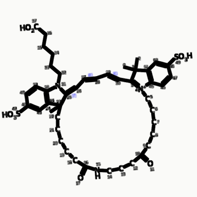 CC1(C)C2=[N+](CCCCCC(=O)CCCNC(=O)CCCCCC3(C)/C(=C/C=C/C=C/2)N(CCCCCC(=O)O)c2ccc(S(=O)(=O)O)cc23)c2ccc(S(=O)(=O)O)cc21